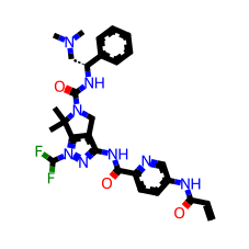 C=CC(=O)Nc1ccc(C(=O)Nc2nn(C(F)F)c3c2CN(C(=O)N[C@H](CN(C)C)c2ccccc2)C3(C)C)nc1